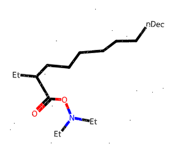 CCCCCCCCCCCCCCCCC(CC)C(=O)ON(CC)CC